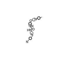 Cc1ccc(N2CCC(Oc3ccn4cc(C(=O)NC5CCN(Cc6ccc(C#N)cc6)CC5)nc4c3)CC2)cc1